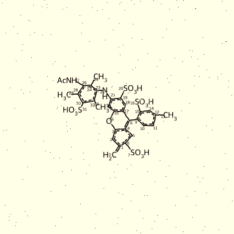 C=c1cc2c(cc1S(=O)(=O)O)=C(c1ccc(C)cc1S(=O)(=O)O)c1cc(S(=O)(=O)O)c(Nc3c(C)c(NC(C)=O)c(C)c(S(=O)(=O)O)c3C)cc1O2